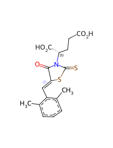 Cc1cccc(C)c1/C=C1\SC(=S)N([C@@H](CCC(=O)O)C(=O)O)C1=O